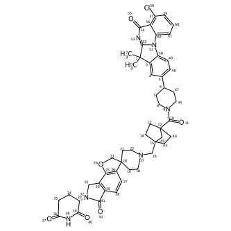 CC1(C)c2cc(C3CCN(C(=O)C45CCC(CN6CCC7(CC6)COc6c7ccc7c6CN([C@H]6CCC(=O)NC6=O)C7=O)(CC4)C5)CC3)ccc2-n2c1nc(=O)c1c(Cl)cccc12